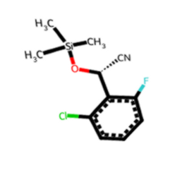 C[Si](C)(C)O[C@H](C#N)c1c(F)cccc1Cl